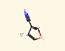 N#Cc1ccoc1.[H+]